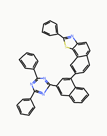 c1ccc(-c2nc(-c3ccccc3)nc(-c3cc(-c4ccc5ccc6nc(-c7ccccc7)sc6c5c4)c4ccccc4c3)n2)cc1